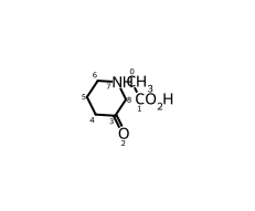 CC(=O)O.O=C1CCCNC1